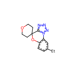 CCc1ccc2c(c1)-n1nnnc1C1(CCOCC1)O2